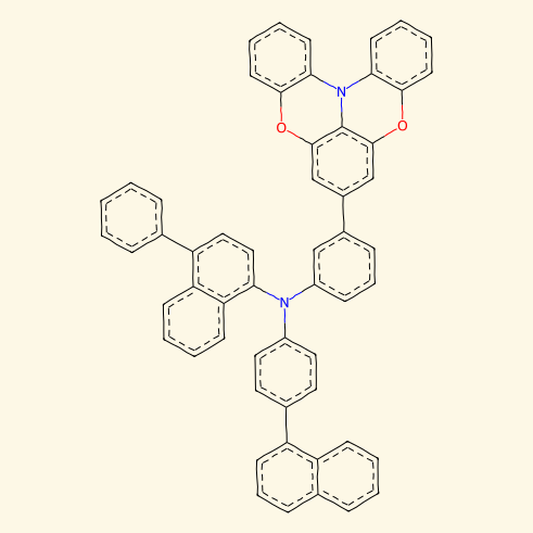 c1ccc(-c2ccc(N(c3ccc(-c4cccc5ccccc45)cc3)c3cccc(-c4cc5c6c(c4)Oc4ccccc4N6c4ccccc4O5)c3)c3ccccc23)cc1